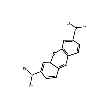 CCN(CC)C1=CC2Sc3cc(N(CC)CC)ccc3N=C2C=C1